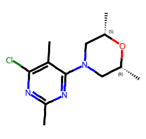 Cc1nc(Cl)c(C)c(N2C[C@@H](C)O[C@@H](C)C2)n1